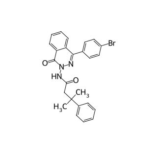 CC(C)(CC(=O)Nn1nc(-c2ccc(Br)cc2)c2ccccc2c1=O)c1ccccc1